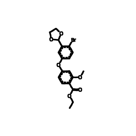 CCOC(=O)c1ccc(Oc2ccc(Br)c(C3OCCO3)c2)cc1OC